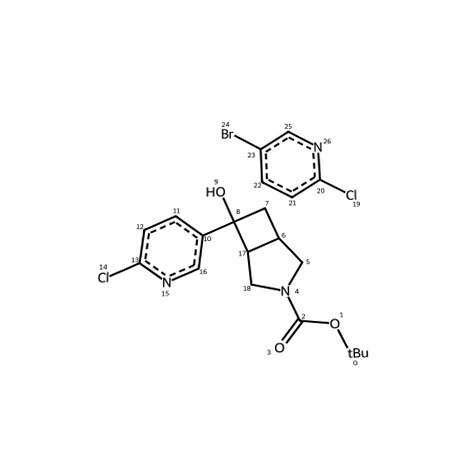 CC(C)(C)OC(=O)N1CC2CC(O)(c3ccc(Cl)nc3)C2C1.Clc1ccc(Br)cn1